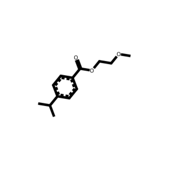 COCCOC(=O)c1ccc(C(C)C)cc1